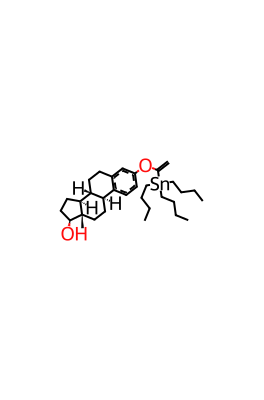 C=[C](Oc1ccc2c(c1)CC[C@@H]1[C@@H]2CC[C@]2(C)[C@@H](O)CC[C@@H]12)[Sn]([CH2]CCC)([CH2]CCC)[CH2]CCC